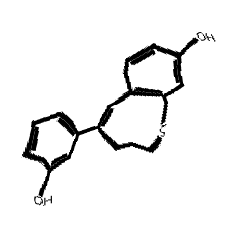 Oc1cccc(C2=Cc3ccc(O)cc3SCC2)c1